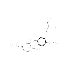 CCCCCCCN1CCC(NC)NC1Nc1ccc(OC)c(OC[C@H](O)CNC)c1